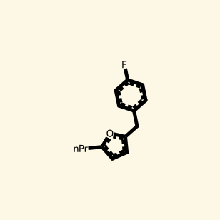 CCCc1ccc(Cc2ccc(F)cc2)o1